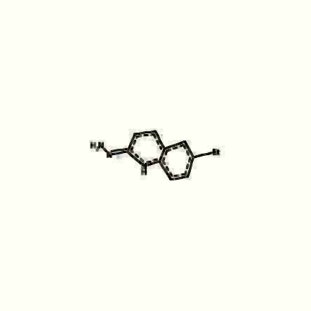 CCc1ccc2[nH]/c(=N/N)ccc2c1